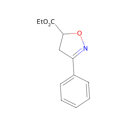 CCOC(=O)C1CC(c2ccccc2)=NO1